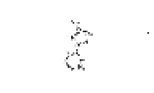 CC(C)c1nc(-c2cccnc2)no1